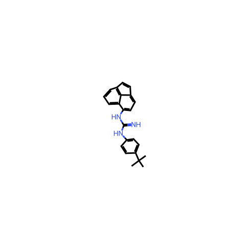 CC(C)(C)c1ccc(NC(=N)Nc2ccc3c4c(cccc24)C=C3)cc1